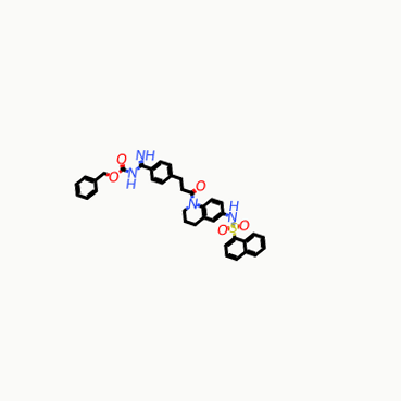 N=C(NC(=O)OCc1ccccc1)c1ccc(CCC(=O)N2CCCc3cc(NS(=O)(=O)c4cccc5ccccc45)ccc32)cc1